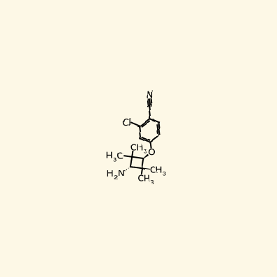 CC1(C)[C@H](N)C(C)(C)[C@H]1Oc1ccc(C#N)c(Cl)c1